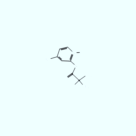 Cc1cc[n+](O)c(NC(=O)C(C)(C)C)c1